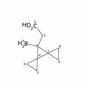 BC1(CC(=O)O)C2(CC2)C12CC2